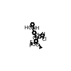 O=C(O[C@@H](Cc1c(Cl)cncc1Cl)c1ccc(OC(F)F)c(OCC2CC2)c1)c1ccc(CNc2ccccc2O)cc1